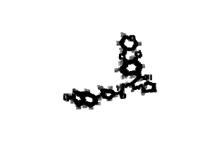 O=C(N[C@H](CN1CCCC1)[C@H](O)c1ccc(OC2CCOCC2)c(Cl)c1)[C@@H]1CCN(c2ccc3cc(Cl)sc3c2)C1